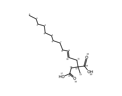 CCCCCCCCCC=CCC(C)(CC(=O)O)C(=O)O